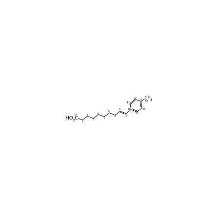 O=C(O)CCCCCCCC=Cc1ccc(C(F)(F)F)cc1